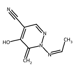 C=C1C(O)=C(C#N)C=NN1/N=C\C